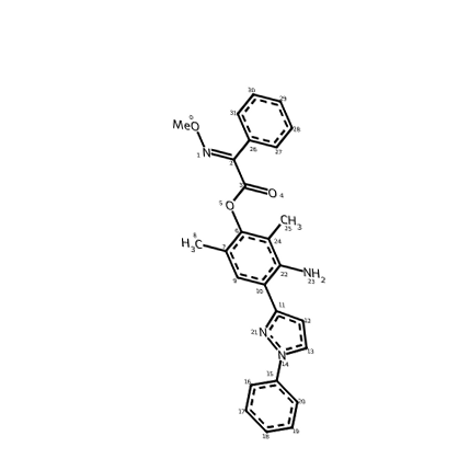 CON=C(C(=O)Oc1c(C)cc(-c2ccn(-c3ccccc3)n2)c(N)c1C)c1ccccc1